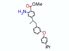 COC(=O)c1ccc(C(C)Cc2cccc(Oc3ccc(C(C)C)cc3)c2)cc1N